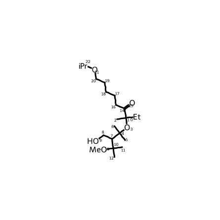 CCC(C)(OC(C)(C)C(CO)C(C)(C)OC)C(=O)CCCCCOC(C)C